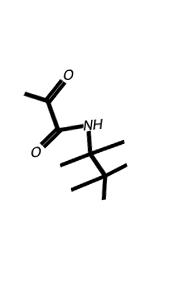 CC(=O)C(=O)NC(C)(C)C(C)(C)C